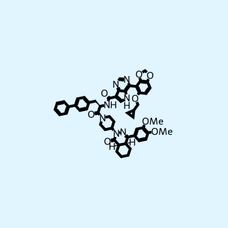 COc1ccc(C2=NN(C3CCN(C(=O)[C@@H](Cc4ccc(-c5ccccc5)cc4)NC(=O)c4c[nH]c5c(-c6c(OCC7CC7)ccc7c6OCO7)ncnc45)CC3)C(=O)[C@@H]3CCCC[C@H]23)cc1OC